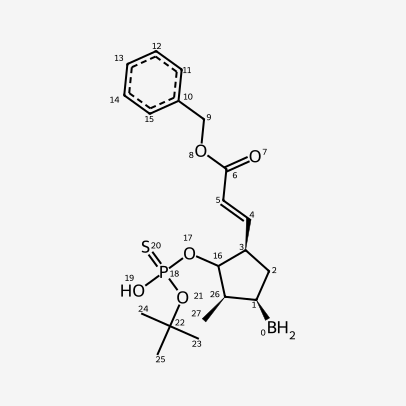 B[C@@H]1C[C@H](/C=C/C(=O)OCc2ccccc2)C(OP(O)(=S)OC(C)(C)C)[C@@H]1C